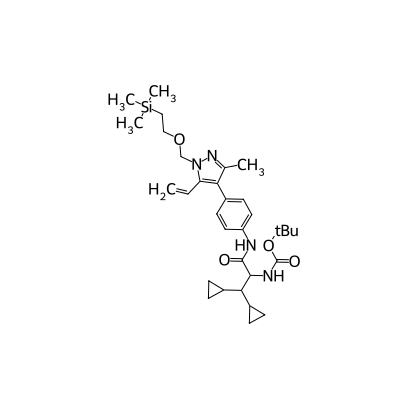 C=Cc1c(-c2ccc(NC(=O)C(NC(=O)OC(C)(C)C)C(C3CC3)C3CC3)cc2)c(C)nn1COCC[Si](C)(C)C